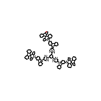 c1ccc2c(c1)-c1ccccc1C21c2ccccc2N(c2ccc3c(c2)c2ccccc2n3-c2cnc(-c3cc(-c4ncc(-n5c6ccccc6c6cc(N7c8ccccc8C8(c9ccccc9-c9ccccc98)c8ccccc87)ccc65)cn4)cc(-c4ncc(-n5c6ccccc6c6cc(N7c8ccccc8C8(c9ccccc9-c9ccccc98)c8ccccc87)ccc65)cn4)c3)nc2)c2ccccc21